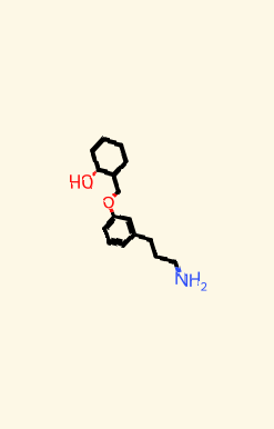 NCCCc1cccc(OCC2CCCC[C@H]2O)c1